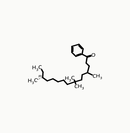 CC[C@@H](C)CCCCCC(C)(C)CCC(C)CCC(=O)c1ccccc1